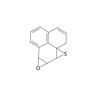 C1=Cc2cccc3c2C2(C1)SC2C1OC31